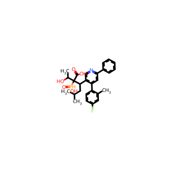 Cc1cc(F)ccc1-c1cc(-c2ccccc2)ncc1C(CC(C)C)C(C(=O)O)(C(C)O)[PH](=O)O